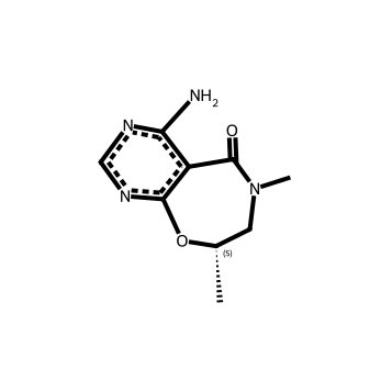 C[C@H]1CN(C)C(=O)c2c(N)ncnc2O1